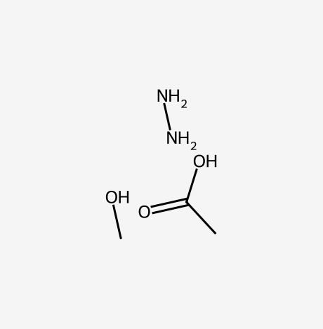 CC(=O)O.CO.NN